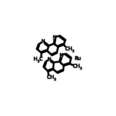 Cc1ccnc2c1ccc1c(C)ccnc12.Cc1ccnc2c1ccc1c(C)ccnc12.[Ru]